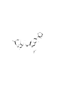 Cc1cnc2c(NC(=O)c3cn4cc([C@@]56CC[C@@](C)(C5)OC6)nc4cc3OC(C)C)cnn2c1